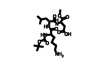 COC(=O)C(CC(=O)O)NC(=O)C(CC(C)C)NC(=O)C(CCCCN)NC(=O)OC(C)(C)C